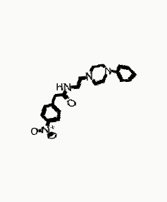 O=C(Cc1ccc([N+](=O)[O-])cc1)NCCN1CCN(c2ccccc2)CC1